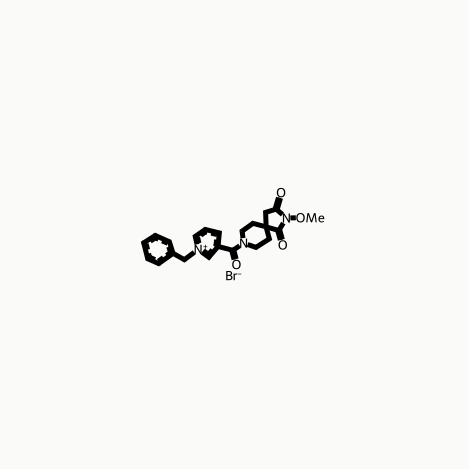 CON1C(=O)CC2(CCN(C(=O)c3ccc[n+](Cc4ccccc4)c3)CC2)C1=O.[Br-]